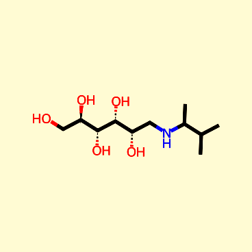 CC(C)C(C)NC[C@H](O)[C@@H](O)[C@H](O)[C@H](O)CO